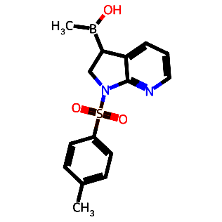 CB(O)C1CN(S(=O)(=O)c2ccc(C)cc2)c2ncccc21